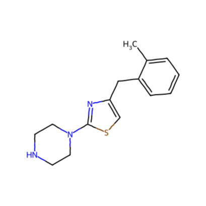 Cc1ccccc1Cc1csc(N2CCNCC2)n1